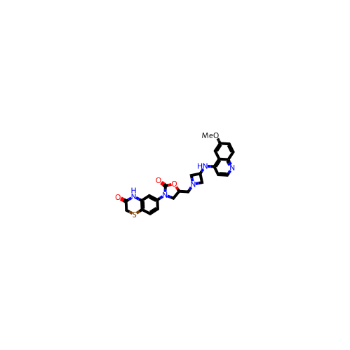 COc1ccc2nccc(NC3CN(CC4CN(c5ccc6c(c5)NC(=O)CS6)C(=O)O4)C3)c2c1